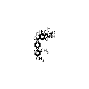 Cc1cnc(N2CCN(C(=O)c3ccc(C4(C)NC(=O)NC4=O)c(F)c3F)CC2)c(C)c1